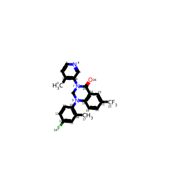 Cc1ccncc1N1CN(c2ccc(F)cc2C)c2ccc(C(F)(F)F)cc2C1=O